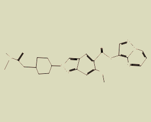 COc1cc2nn(C3CCC(CC(=O)N(C)C)CC3)cc2cc1C(=O)Nc1cnn2cccnc12